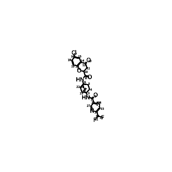 O=C(NC12CCC(NC(=O)C3CC(=O)c4cc(Cl)ccc4O3)(CC1)CC2)c1cnc(C(F)F)cn1